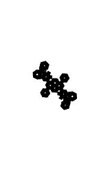 Cc1c(-c2cc(-c3ccccc3)c3ccc4c(-c5cc6c(c(C)c5C)N(c5ccccc5)C5(C)CCCCC65C)cc(-c5ccccc5)c5ccc2c3c54)cc2c(c1C)N(c1ccccc1)C1(C)CCCCC21C